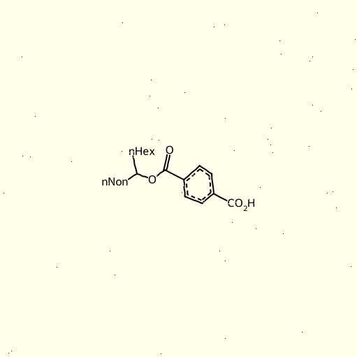 CCCCCCCCCC(CCCCCC)OC(=O)c1ccc(C(=O)O)cc1